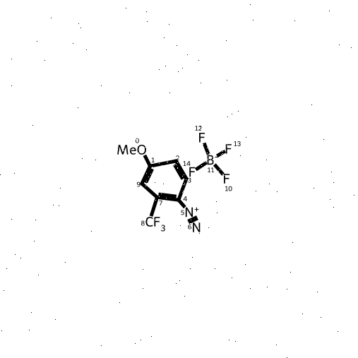 COc1ccc([N+]#N)c(C(F)(F)F)c1.F[B-](F)(F)F